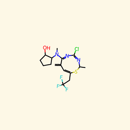 C=C1/C=C(/CC(F)(F)F)SC(C)/N=C(Cl)\N=C/1N(C)C1CCCC1O